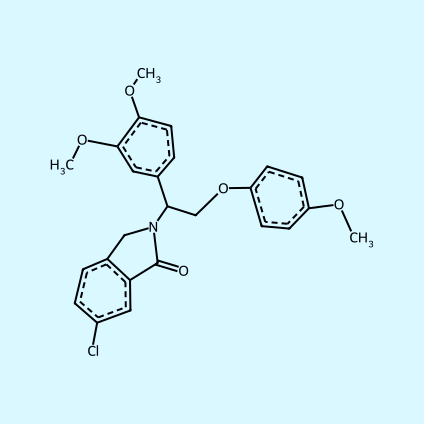 COc1ccc(OCC(c2ccc(OC)c(OC)c2)N2Cc3ccc(Cl)cc3C2=O)cc1